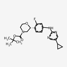 CC(C)(C)OC(=O)N1CCO[C@H](c2ccc(Nc3ncc(C4CC4)cn3)cc2F)C1